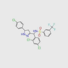 O=S(=O)(NC(C1=NNC(c2ccc(Cl)cc2)C1)c1ccc(Cl)cc1Cl)c1cccc(C(F)(F)F)c1